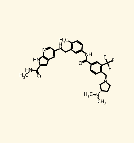 CNC(=O)c1cc2cc(NCc3cc(NC(=O)c4ccc(CN5CC[C@H](N(C)C)C5)c(C(F)(F)F)c4)ccc3C)cnc2[nH]1